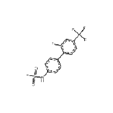 CS(=O)(=O)Nc1ccc(-c2ccc(C(F)(F)F)cc2F)cc1